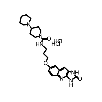 Cl.Cl.O=C(NCCCOc1ccc2nc3[nH]c(=O)[nH]c3cc2c1)N1CCC(N2CCCCC2)CC1